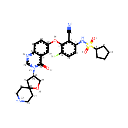 N#Cc1c(NS(=O)(=O)C2CCCC2)ccc(F)c1Oc1ccc2ncn([C@H]3COC4(CCNCC4)C3)c(=O)c2c1